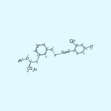 CC(C)O[C@@H](Cc1cccc(OCC#Cc2ccc(Cl)cc2Cl)c1)C(=O)O